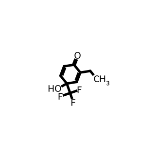 CCC1=CC(O)(C(F)(F)F)C=CC1=O